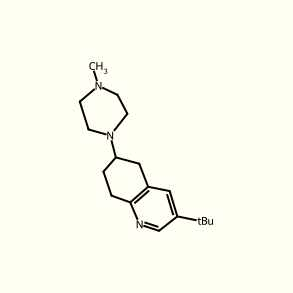 CN1CCN(C2CCc3ncc(C(C)(C)C)cc3C2)CC1